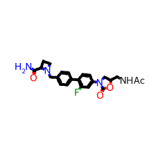 CC(=O)NCC1CN(c2ccc(-c3ccc(CN4CCC4C(N)=O)cc3)c(F)c2)C(=O)O1